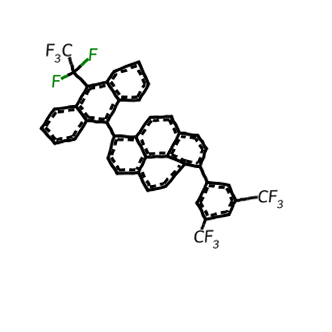 FC(F)(F)c1cc(-c2ccc3ccc4c(-c5c6ccccc6c(C(F)(F)C(F)(F)F)c6ccccc56)ccc5ccc2c3c54)cc(C(F)(F)F)c1